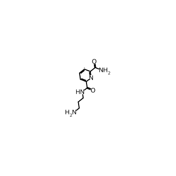 NCCCNC(=O)c1cc[c]c(C(N)=O)n1